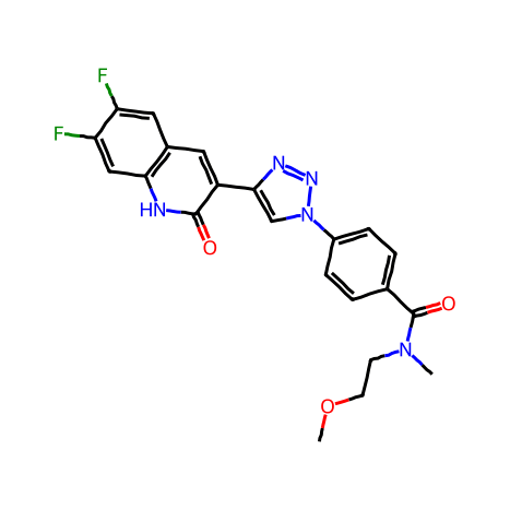 COCCN(C)C(=O)c1ccc(-n2cc(-c3cc4cc(F)c(F)cc4[nH]c3=O)nn2)cc1